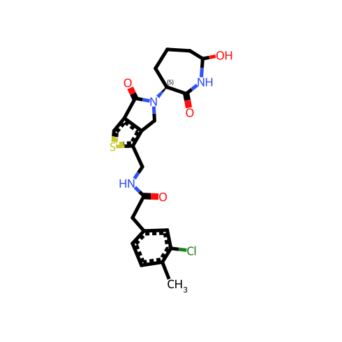 Cc1ccc(CC(=O)NCc2scc3c2CN([C@H]2CCCC(O)NC2=O)C3=O)cc1Cl